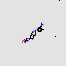 Cc1ccc(SN2CCC3(CCC(N4CC5(COC5)C4)C3)CC2)cc1C#N